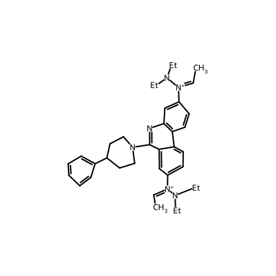 CC=[N+](c1ccc2c(c1)nc(N1CCC(c3ccccc3)CC1)c1cc([N+](=CC)N(CC)CC)ccc12)N(CC)CC